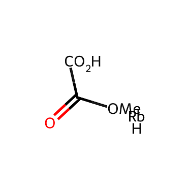 COC(=O)C(=O)O.[RbH]